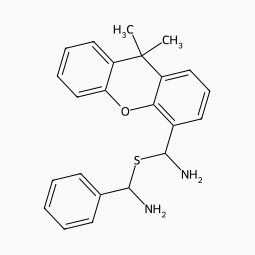 CC1(C)c2ccccc2Oc2c(C(N)SC(N)c3ccccc3)cccc21